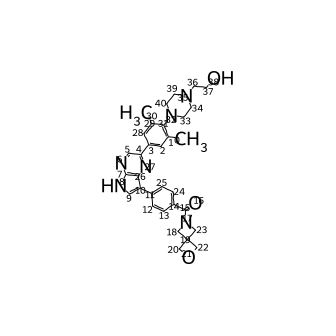 Cc1cc(-c2cnc3[nH]cc(-c4ccc(C(=O)N5CC6(COC6)C5)cc4)c3n2)cc(C)c1N1CCN(CCO)CC1